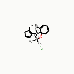 CC1=CC=CCC1(O[Si](C)(C)C)[Si](C)(C)C1=[C]([Ti+2])CC=C1.[Cl-].[Cl-]